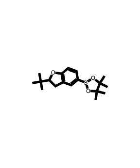 CC(C)(C)C1Cc2cc(B3OC(C)(C)C(C)(C)O3)ccc2O1